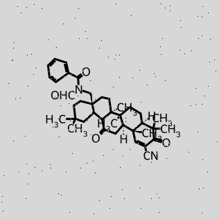 CC1(C)CC[C@]2(CN(C=O)C(=O)c3ccccc3)CC[C@]3(C)C(C(=O)C[C@@H]4[C@@]5(C)C=C(C#N)C(=O)C(C)(C)[C@@H]5CC[C@]43C)C2C1